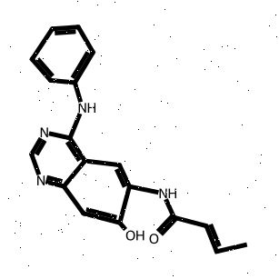 CC=CC(=O)Nc1cc2c(Nc3ccccc3)ncnc2cc1O